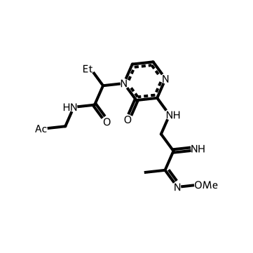 CCC(C(=O)NCC(C)=O)n1ccnc(NCC(=N)/C(C)=N\OC)c1=O